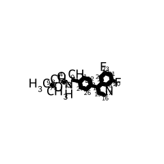 CC(NC(=O)OC(C)(C)C)c1ccc(-c2ccnc3c(F)cc(F)cc23)cc1